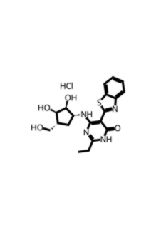 CCc1nc(N[C@@H]2C[C@H](CO)[C@@H](O)[C@H]2O)c(-c2nc3ccccc3s2)c(=O)[nH]1.Cl